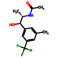 CC(=O)N[C@@H](C)[C@H](O)c1cc(C)cc(C(F)(F)F)c1